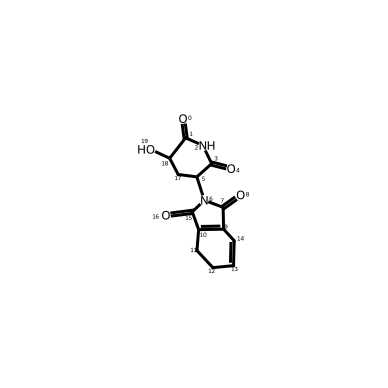 O=C1NC(=O)C(N2C(=O)C3=C(CCC=C3)C2=O)CC1O